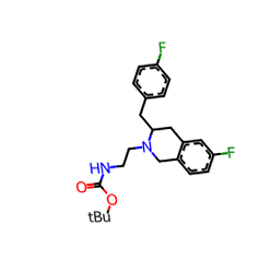 CC(C)(C)OC(=O)NCCN1Cc2ccc(F)cc2CC1Cc1ccc(F)cc1